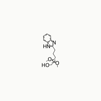 CO[Si](CO)(CCCc1nc2ccccc2[nH]1)OC